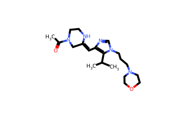 CC(=O)N1CCN/C(=C\c2ncn(CCCN3CCOCC3)c2C(C)C)C1